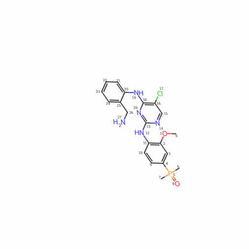 COc1cc(P(C)(C)=O)ccc1Nc1ncc(Cl)c(Nc2ccccc2CN)n1